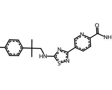 CC(C)(CNc1nc(-c2ccc(C(N)=O)nc2)ns1)c1ccc(F)cc1